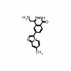 Cc1ccn2c(-c3ccc4c(=O)[nH]nc(CN)c4c3)cnc2c1